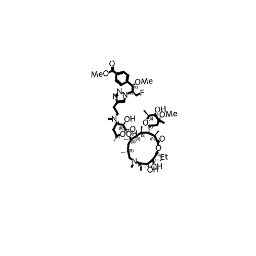 CC[C@H]1OC(=O)[C@H](C)C([C@H]2C[C@@](C)(OC)[C@@H](O)[C@H](C)O2)[C@H](C)[C@@H](O[C@@H]2O[C@H](C)C[C@H](N(C)CCc3cn([C@H](CF)[C@H](OC)c4ccc(C(=O)OC)cc4)nn3)[C@H]2O)[C@](C)(O)C[C@@H](C)CN(C)[C@H](C)[C@@H](O)[C@]1(C)O